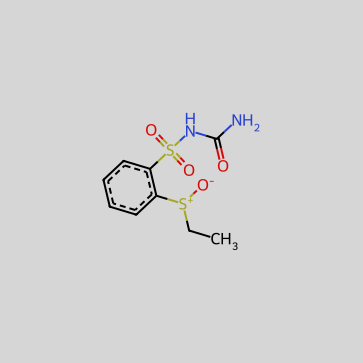 CC[S+]([O-])c1ccccc1S(=O)(=O)NC(N)=O